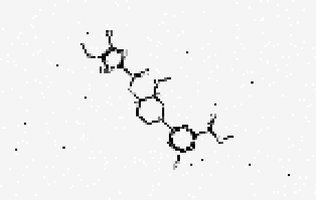 CCc1[nH]c(C(=O)N[C@@H]2CCN(c3cc(F)cc(C(=O)OC)c3)C[C@@H]2OC)nc1Cl